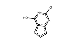 Oc1nc(Cl)nc2ccsc12